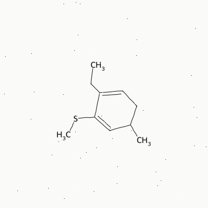 CCC1=CCC(C)C=C1SC